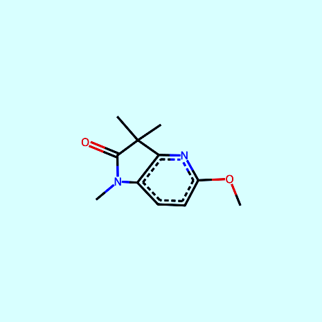 COc1ccc2c(n1)C(C)(C)C(=O)N2C